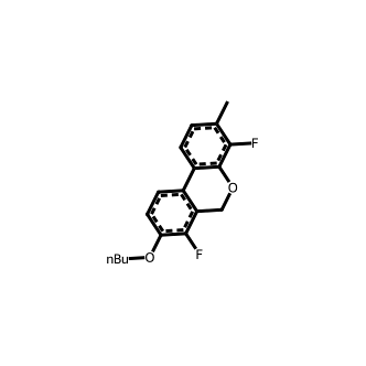 CCCCOc1ccc2c(c1F)COc1c-2ccc(C)c1F